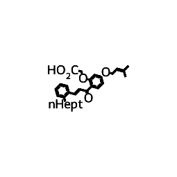 CCCCCCCc1ccccc1/C=C/C(=O)c1ccc(OCC=C(C)C)cc1OCC(=O)O